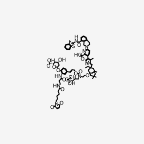 CCC1(Cn2ncc(-c3ccc(N4CCc5cccc(C(=O)Nc6nc7ccccc7s6)c5C4)nc3C(=O)O)c2C)CC2(C)CC(C)(C)CC(OCCN(CCCP(=O)(O)O)C(=O)OC/C=C/c3ccc(O[C@H]4C[C@@H](O)C[C@@H](C(=O)O)O4)c(NC(=O)CCNC(=O)CCCCCN4C(=O)C=CC4=O)c3)(C2)C1